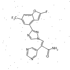 NC(=O)/C(=C/n1cnc(-c2cc(C(F)(F)F)cc3oc(F)cc23)n1)c1cncnc1